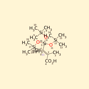 CCC/C(=C(/C)C(=O)O)[Si](O[Si](C)(C)C)(O[Si](C)(C)C)O[Si](C)(C)C